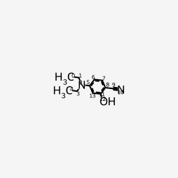 CCN(CC)c1ccc(C#N)c(O)c1